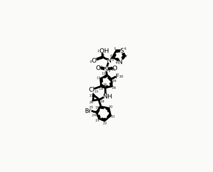 O=C(O)N(c1cscn1)S(=O)(=O)c1cc(Cl)c(NC2(c3ccccc3Br)CC2)cc1F